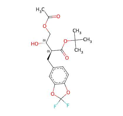 CC(=O)OC[C@@H](O)[C@H](Cc1ccc2c(c1)OC(F)(F)O2)C(=O)OC(C)(C)C